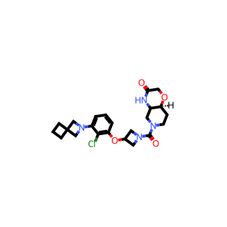 O=C1CO[C@H]2CCN(C(=O)N3CC(Oc4cccc(N5CC6(CCC6)C5)c4Cl)C3)CC2N1